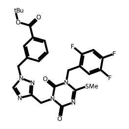 CSc1nc(=O)n(Cc2ncn(Cc3cccc(C(=O)OC(C)(C)C)c3)n2)c(=O)n1Cc1cc(F)c(F)cc1F